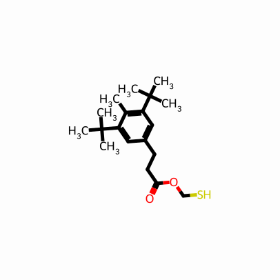 Cc1c(C(C)(C)C)cc(CCC(=O)OCS)cc1C(C)(C)C